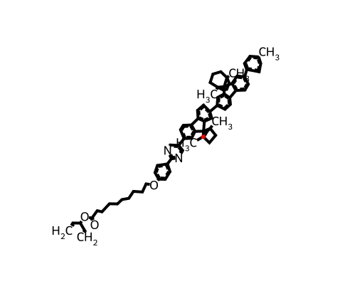 C=CC(C=C)OC(=O)CCCCCCCCCOc1ccc(-c2ncc(-c3ccc4c(c3)C3(c5cc(-c6ccc7c(c6)C6(c8cc(-c9ccc(C)cc9)ccc8-7)C7(C)CCCC6(C)CCC7)ccc5-4)C4(C)CCC3(C)CC4)cn2)cc1